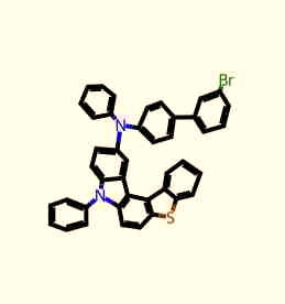 Brc1cccc(-c2ccc(N(c3ccccc3)c3ccc4c(c3)c3c5c(ccc3n4-c3ccccc3)sc3ccccc35)cc2)c1